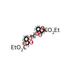 CCOC(=O)c1cc(=O)c2c(OCC(F)COc3cccc4oc(C(=O)OCC)cc(=O)c34)cccc2o1